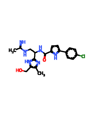 CC(=N)NCC(NC(=O)c1ccc(-c2ccc(Cl)cc2)[nH]1)c1nc(C)c(CO)[nH]1